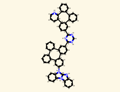 c1ccc2c(c1)-c1ccccc1-c1cc(-n3c4ccccc4n4c5ccccc5nc34)ccc1-c1ccc(-c3ncnc(-c4ccc5c(c4)-c4ccccc4-c4ccccc4-c4ncccc4-5)n3)cc1-2